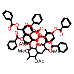 COC(CC(C(OC(C)=O)C(C)COC(O)C(OC(=O)c1ccccc1)C(OC(=O)c1ccccc1)C(OC(=O)c1ccccc1)C(C)COC(=O)c1ccccc1)C(OC(C)=O)C(OC)OC)C(OC(=O)c1ccccc1)C(OC(=O)c1ccccc1)C(OC(=O)c1ccccc1)C(C)COC(=O)c1ccccc1